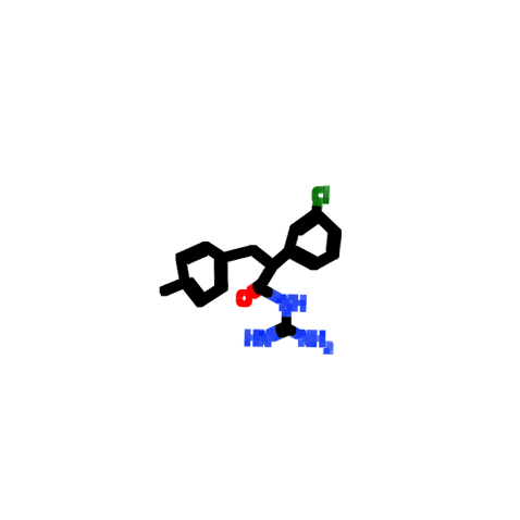 Cc1ccc(CC(C(=O)NC(=N)N)c2cccc(Cl)c2)cc1